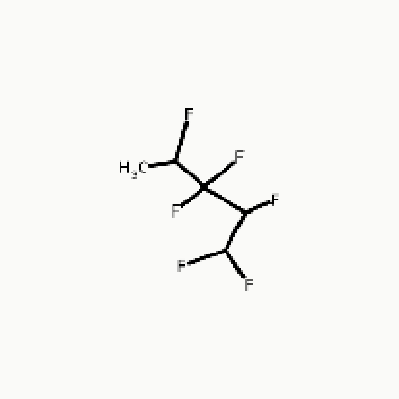 CC(F)C(F)(F)C(F)[C](F)F